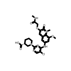 CNC(=O)COc1cc2cc(Nc3nc(N4CCC[C@@H](C(=O)O)C4)ncc3Cl)cc(OC)c2n(C)c1=O